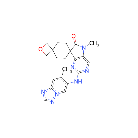 Cc1cc2ncnn2cc1Nc1ncc2c(n1)C1(CCC3(CC1)COC3)C(=O)N2C